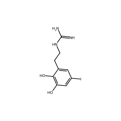 N=C(N)NCCc1cc(I)cc(O)c1O